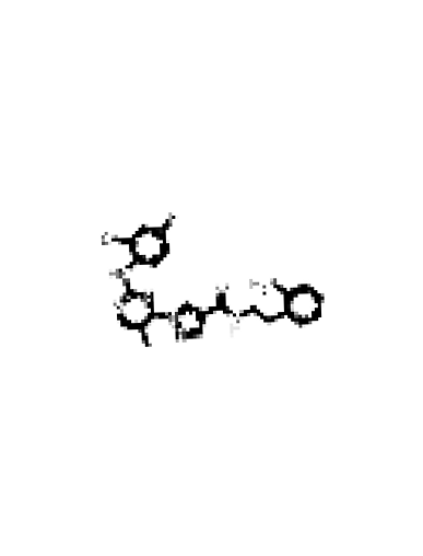 Cc1cnc(Nc2ccc(F)cc2Cl)nc1-n1cc(C(=O)NCCc2ccccc2N)cn1